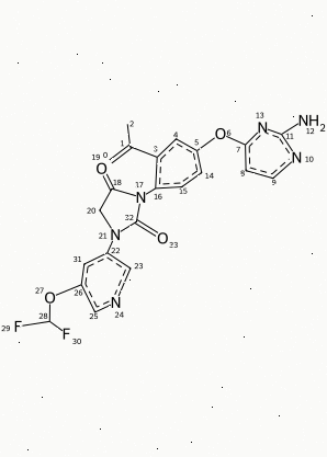 C=C(C)c1cc(Oc2ccnc(N)n2)ccc1N1C(=O)CN(c2cncc(OC(F)F)c2)C1=O